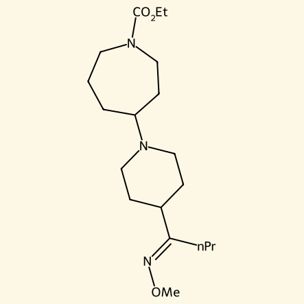 CCC/C(=N\OC)C1CCN(C2CCCN(C(=O)OCC)CC2)CC1